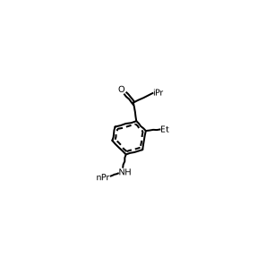 CCCNc1ccc(C(=O)C(C)C)c(CC)c1